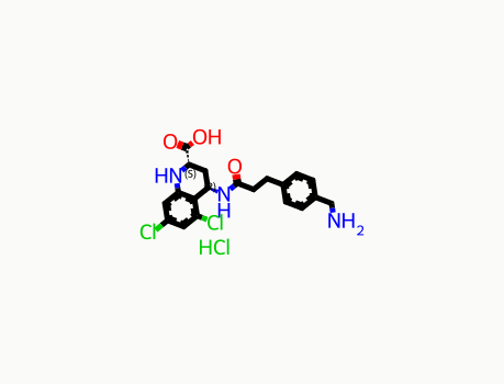 Cl.NCc1ccc(CCC(=O)N[C@@H]2C[C@@H](C(=O)O)Nc3cc(Cl)cc(Cl)c32)cc1